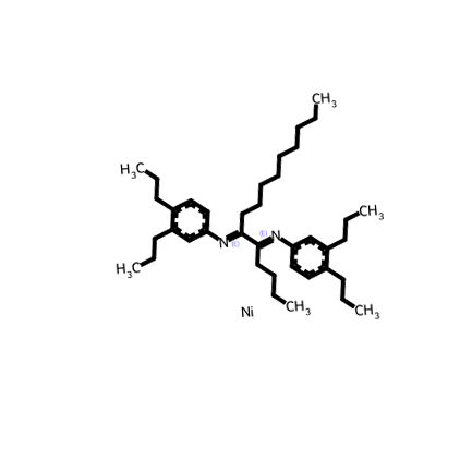 CCCCCCCCCC(=N\c1ccc(CCC)c(CCC)c1)/C(CCCC)=N/c1ccc(CCC)c(CCC)c1.[Ni]